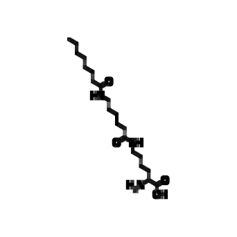 CCCCCCCC(=O)NCCCCCC(=O)NCCCCC(N)C(=O)O